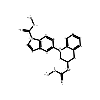 CC(C)(C)OC(=O)NC1Cc2ccccc2N(c2ccc3c(ccn3C(=O)OC(C)(C)C)c2)C1